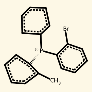 Cc1ccccc1[P@](c1ccccc1)c1ccccc1Br